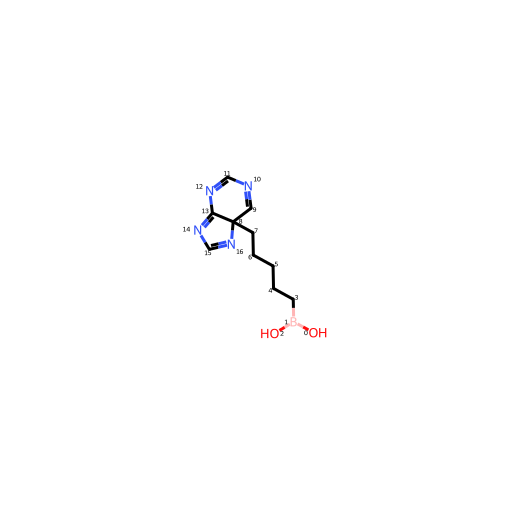 OB(O)CCCCCC12C=NC=NC1=NC=N2